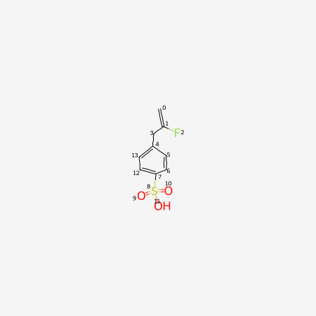 C=C(F)Cc1ccc(S(=O)(=O)O)cc1